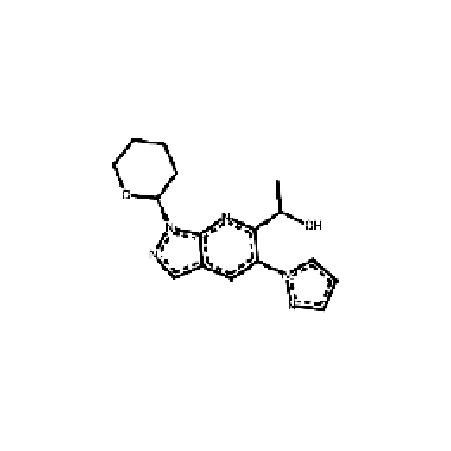 CC(O)c1nc2c(cnn2[C@@H]2CCCCO2)cc1-n1cccn1